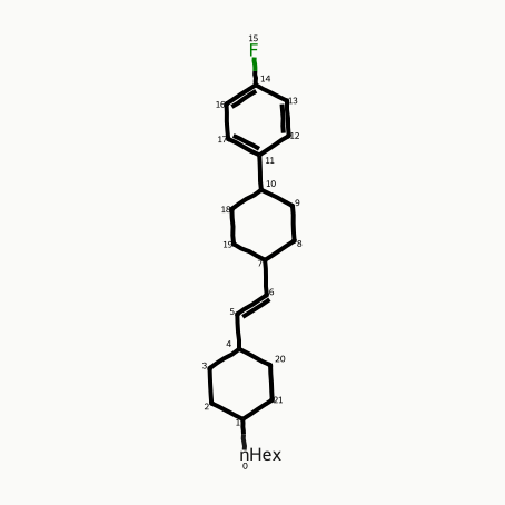 CCCCCCC1CCC(/C=C/C2CCC(c3ccc(F)cc3)CC2)CC1